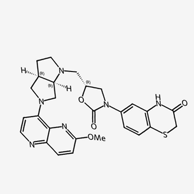 COc1ccc2nccc(N3C[C@H]4CCN(C[C@@H]5CN(c6ccc7c(c6)NC(=O)CS7)C(=O)O5)[C@H]4C3)c2n1